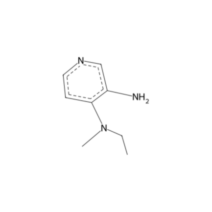 CCN(C)c1ccncc1N